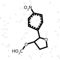 O=C(O)OC1CCOC1c1ccc([N+](=O)[O-])cc1